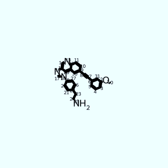 COc1cccc(C#Cc2ccc3ncc4ncn(-c5ccc(CCN)cc5)c4c3c2)c1